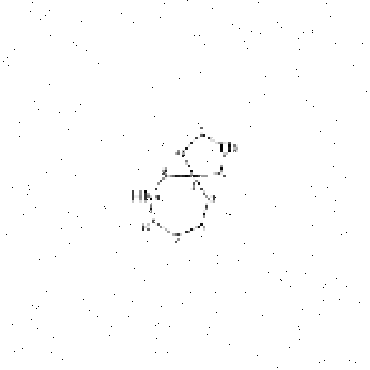 C1CCC2(CCOC2)CNC1